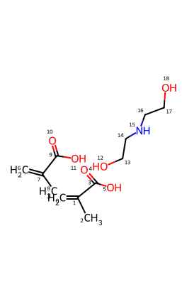 C=C(C)C(=O)O.C=C(C)C(=O)O.OCCNCCO